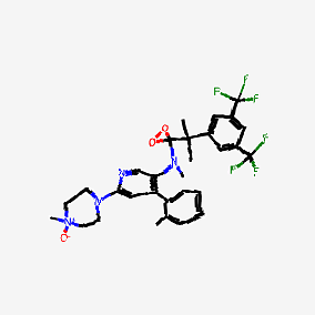 Cc1ccccc1-c1cc(N2CC[N+](C)([O-])CC2)ncc1N(C)C1(C(C)(C)c2cc(C(F)(F)F)cc(C(F)(F)F)c2)OO1